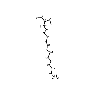 CCC(CC)NCCCCCCCCCCCCN